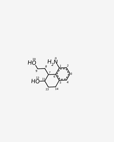 Nc1cccc2c1C(CCO)C(O)CC2